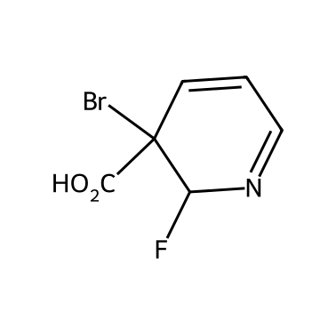 O=C(O)C1(Br)C=CC=NC1F